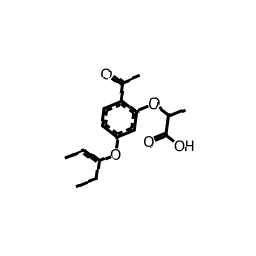 CC=C(CC)Oc1ccc(C(C)=O)c(OC(C)C(=O)O)c1